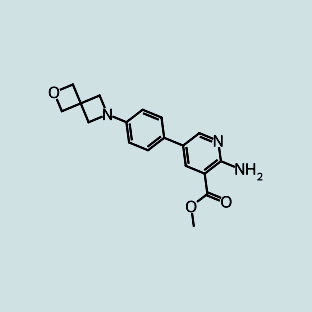 COC(=O)c1cc(-c2ccc(N3CC4(COC4)C3)cc2)cnc1N